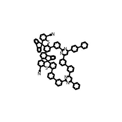 N#Cc1cccc2c1Sc1c(-c3cccc(-c4cccc(-c5nc(-c6ccccc6)cc(-c6cccc(-c7cccc(-c8cc(-c9ccc(-c%10ccccc%10)cc9)nc(-c9cccc(-c%10cccc%11c%10Sc%10c(C#N)cccc%10C%11%10c%11ccccc%11-c%11ccccc%11%10)c9)n8)c7)c6)n5)c4)c3)cccc1C21c2ccccc2-c2ccccc21